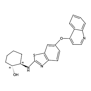 O[C@@H]1CCCC[C@H]1Nc1nc2ccc(Oc3ccnc4ccccc34)cc2s1